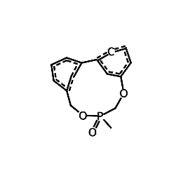 CP1(=O)COc2cccc(c2)-c2cccc(c2)CO1